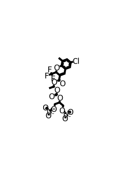 Cc1cc(Cl)cc2c1OC(C(F)(F)F)C(C(=O)OC(C)OC(=O)OC(CO[N+](=O)[O-])CO[N+](=O)[O-])=C2